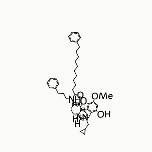 COc1cc(O)c2c3c1O[C@H]1[C@H](N(CCCc4ccccc4)C(=O)CCCCCCCCCCc4ccccc4)CC[C@H]4[C@@H](C2)N(CC2CC2)CC[C@@]341